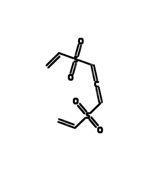 C=CS(=O)(=O)C=C=CS(=O)(=O)C=C